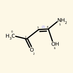 CC(=O)/C=C(/N)O